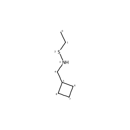 CCSNCC1CCC1